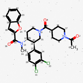 CC(=O)N1CCC(C(=O)N2CC[C@@H](N(C)C(=O)c3cc4ccccc4o3)[C@H](c3ccc(Cl)c(Cl)c3)C2)CC1